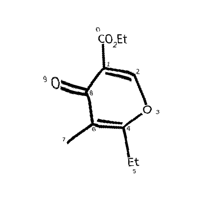 CCOC(=O)c1coc(CC)c(C)c1=O